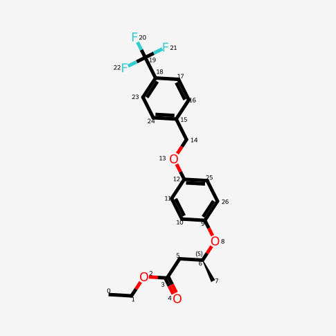 CCOC(=O)C[C@H](C)Oc1ccc(OCc2ccc(C(F)(F)F)cc2)cc1